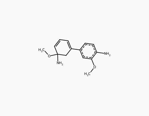 COc1cc(C2=CC=CC(N)(OC)C2)ccc1N